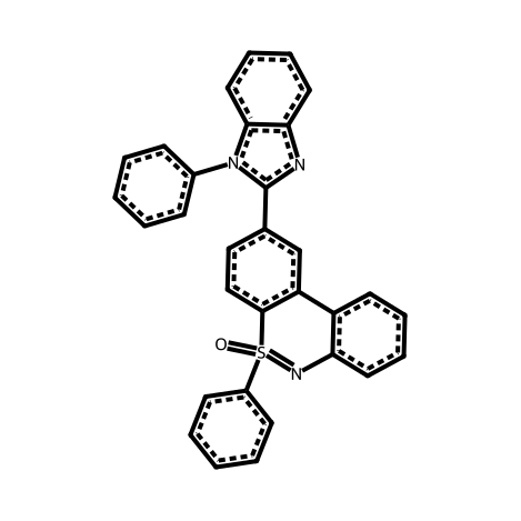 O=S1(c2ccccc2)=Nc2ccccc2-c2cc(-c3nc4ccccc4n3-c3ccccc3)ccc21